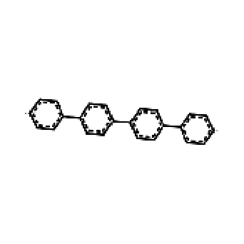 [c]1ccc(-c2ccc(-c3ccc(-c4cc[c]cc4)cc3)cc2)cc1